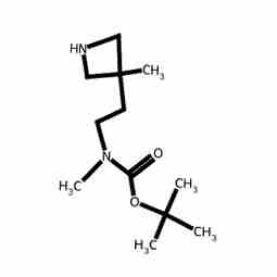 CN(CCC1(C)CNC1)C(=O)OC(C)(C)C